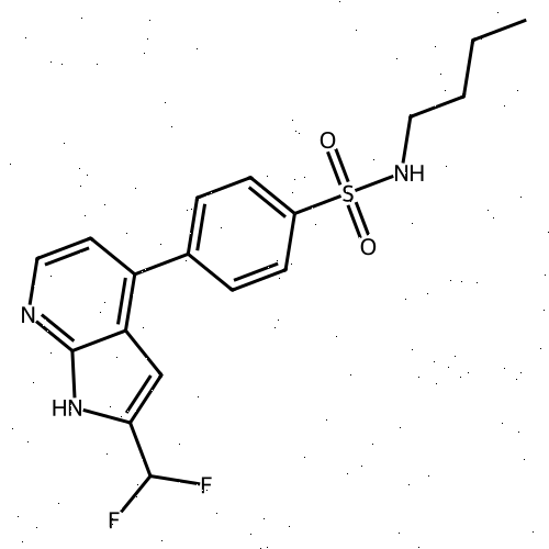 CCCCNS(=O)(=O)c1ccc(-c2ccnc3[nH]c(C(F)F)cc23)cc1